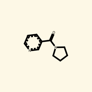 O=C(c1c[c]cnc1)N1CCCC1